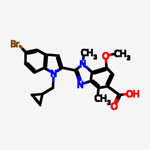 COc1cc(C(=O)O)c(C)c2nc(-c3cc4cc(Br)ccc4n3CC3CC3)n(C)c12